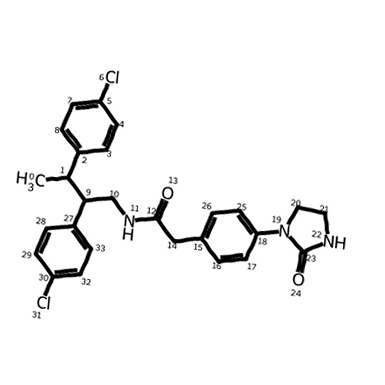 CC(c1ccc(Cl)cc1)C(CNC(=O)Cc1ccc(N2CCNC2=O)cc1)c1ccc(Cl)cc1